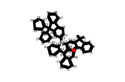 CC1(C)c2ccccc2-c2ccc(N(c3ccc4c(c3)C(c3ccccc3)(c3ccccc3)c3ccccc3-4)c3ccccc3-c3cccc4ccccc34)cc21